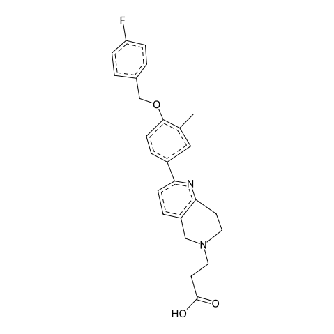 Cc1cc(-c2ccc3c(n2)CCN(CCC(=O)O)C3)ccc1OCc1ccc(F)cc1